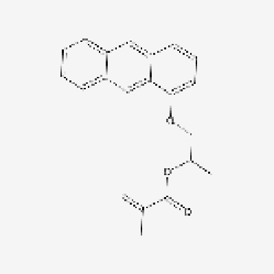 C=C(C)C(=O)OC(C)COc1cccc2cc3ccccc3cc12